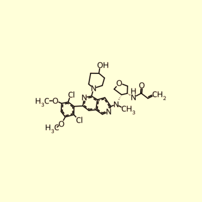 C=CC(=O)N[C@H]1COC[C@H]1N(C)c1cc2c(N3CCC(O)CC3)nc(-c3c(Cl)c(OC)cc(OC)c3Cl)cc2cn1